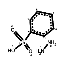 NN.O=S(=O)(O)c1ccccc1